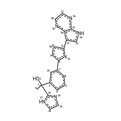 CC(O)(c1cccc(-c2csc(-c3c[nH]c4nccnc34)n2)c1)c1ncc[nH]1